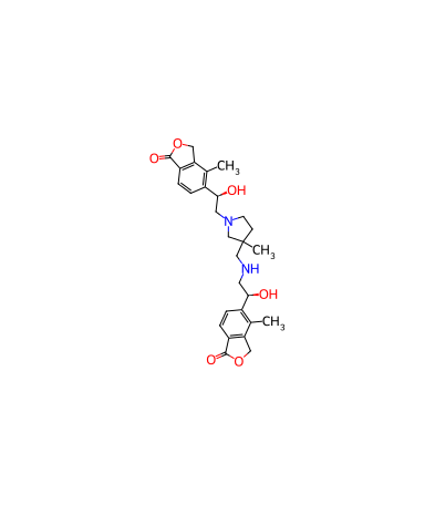 Cc1c([C@H](O)CNCC2(C)CCN(C[C@H](O)c3ccc4c(c3C)COC4=O)C2)ccc2c1COC2=O